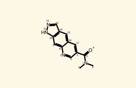 CN(C)C(=O)c1cnc2cc3[nH]ncc3cc2c1